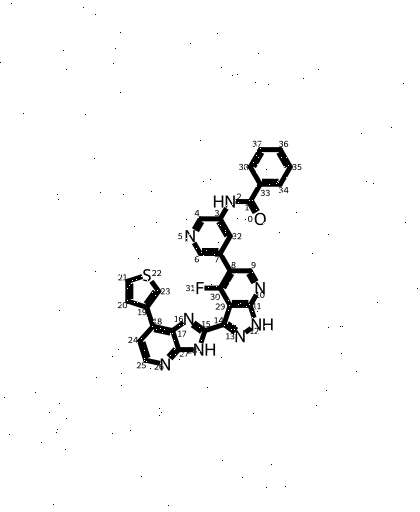 O=C(Nc1cncc(-c2cnc3[nH]nc(-c4nc5c(-c6ccsc6)ccnc5[nH]4)c3c2F)c1)c1ccccc1